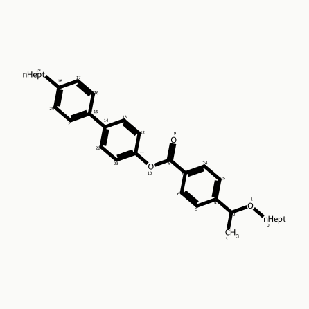 CCCCCCCOC(C)c1ccc(C(=O)Oc2ccc(-c3ccc(CCCCCCC)cc3)cc2)cc1